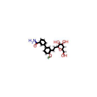 NC(=O)c1cccc(-c2ccc(OF)c(CCC3OC(CO)CC(O)C3O)c2)c1